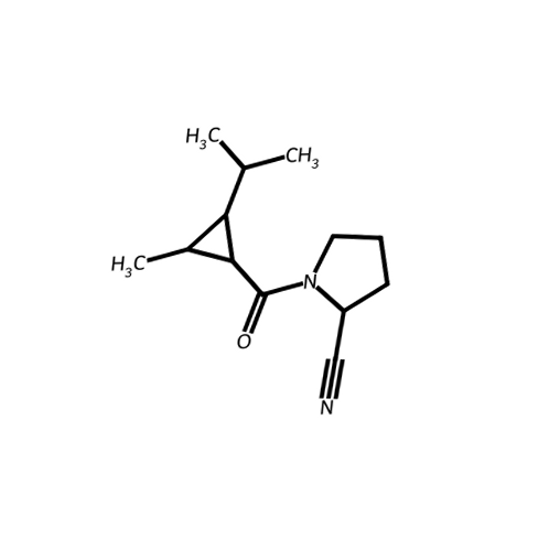 CC(C)C1C(C)C1C(=O)N1CCCC1C#N